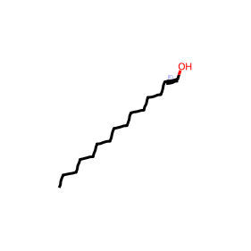 CCCCCCCCCCCCC/C=C/O